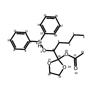 CCCCC(O[SiH](c1ccccc1)c1ccccc1)C1(OC(C)=O)OCCO1